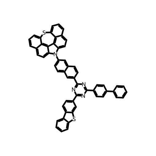 c1ccc(-c2ccc(-c3nc(-c4ccc5cc(-n6c7ccc8cccc9sc%10cccc%11ccc6c(c%11%10)c7c89)ccc5c4)nc(-c4ccc5c(c4)sc4ccccc45)n3)cc2)cc1